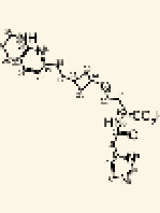 O=C(Cc1ccncn1)NC(CCOC1CC(CCc2ccc3c(n2)NCCC3)C1)C(=O)O